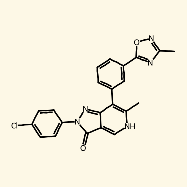 Cc1noc(-c2cccc(-c3c4nn(-c5ccc(Cl)cc5)c(=O)c-4c[nH]c3C)c2)n1